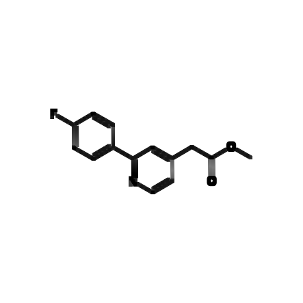 COC(=O)Cc1ccnc(-c2ccc(F)cc2)c1